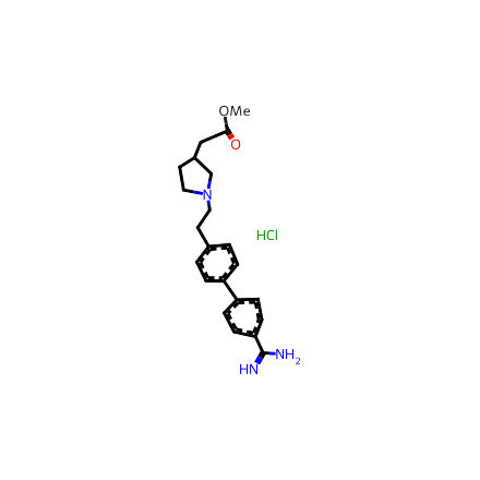 COC(=O)CC1CCN(CCc2ccc(-c3ccc(C(=N)N)cc3)cc2)C1.Cl